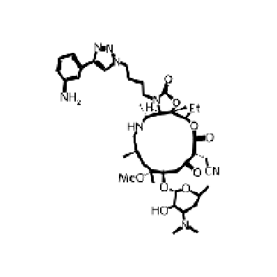 CC[C@H]1OC(=O)[C@H](CC#N)C(=O)C[C@@H](O[C@@H]2OC(C)CC(N(C)C)C2O)[C@](C)(OC)C[C@@H](C)CN[C@H](C)[C@H]2N(CCCCn3cc(-c4cccc(N)c4)nn3)C(=O)O[C@]12C